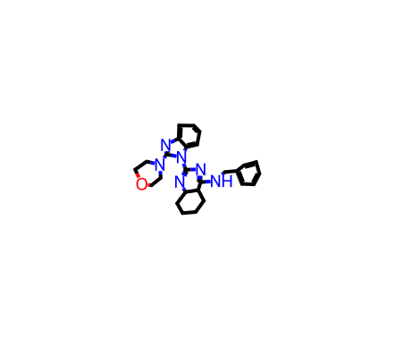 c1ccc(CNC2=NC(n3c(N4CCOCC4)nc4ccccc43)=NC3CCCCC23)cc1